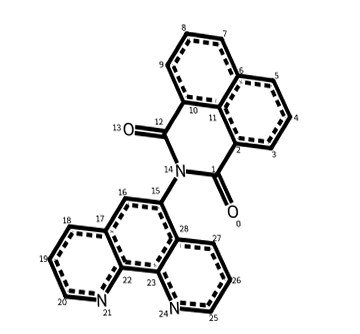 O=C1c2cccc3cccc(c23)C(=O)N1c1cc2cccnc2c2ncccc12